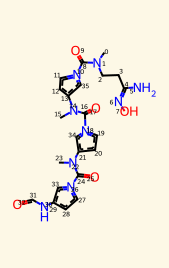 CN(CCC(N)=NO)C(=O)n1ccc(N(C)C(=O)n2ccc(N(C)C(=O)n3ccc(NC=O)c3)c2)c1